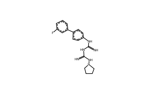 N=C(NC(=N)NN1CCCC1)Nc1ccc(-c2cccc(F)c2)cc1